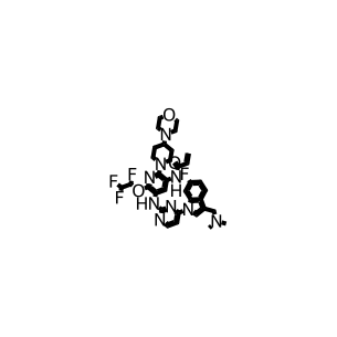 C=CC(=O)Nc1cc(Nc2nccc(-n3cc(CN(C)C)c4ccc(F)cc43)n2)c(OC(F)C(F)F)nc1N1CCC(N2CCOCC2)CC1